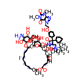 CC(C)[N+](C)(CCC(C(N)=O)(c1ccccc1)c1ccccc1)C(C)C.C[C@@H]1C/C=C/C=C/C=C/C=C/[C@H](O[C@@H]2O[C@H](C)[C@@H](O)[C@H](N)[C@@H]2O)C[C@@H]2O[C@](O)(C[C@@H](O)C[C@H]3O[C@@H]3/C=C/C(=O)O1)C[C@H](O)[C@H]2C(=O)O.Cn1c(=O)c2c(ncn2CCO)n(C)c1=O.[I-]